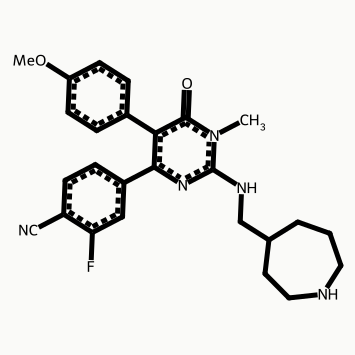 COc1ccc(-c2c(-c3ccc(C#N)c(F)c3)nc(NCC3CCCNCC3)n(C)c2=O)cc1